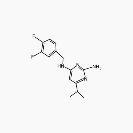 CC(C)c1cc(NCc2ccc(F)c(F)c2)nc(N)n1